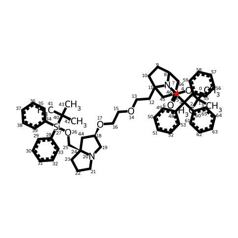 CC(C)(C)OC(=O)N1C2CCC1(CCOCCO[C@H]1CN3CCC[C@]3(CO[Si](c3ccccc3)(c3ccccc3)C(C)(C)C)C1)CN(C(c1ccccc1)(c1ccccc1)c1ccccc1)C2